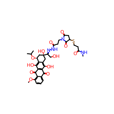 CNC(=O)CCSC1CC(=O)N(CCC(=O)N/N=C(\CO)[C@]2(O)Cc3c(O)c4c(c(O)c3[C@@H](OC(C)C)C2)C(=O)c2c(OC)cccc2C4=O)C1=O